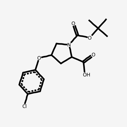 CC(C)(C)OC(=O)N1CC(Oc2ccc(Cl)cc2)CC1C(=O)O